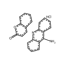 Cl.Nc1c2ccccc2nc2ccccc12.O=c1ccc2ccccc2o1